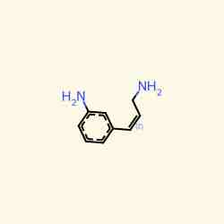 NC/C=C\c1cccc(N)c1